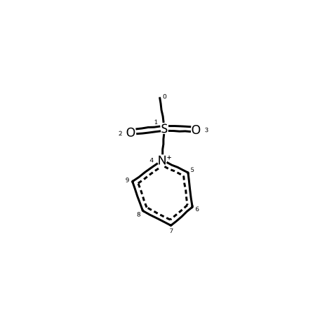 CS(=O)(=O)[n+]1ccccc1